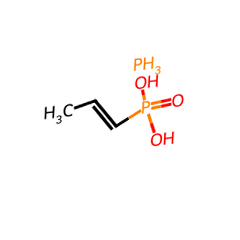 CC=CP(=O)(O)O.P